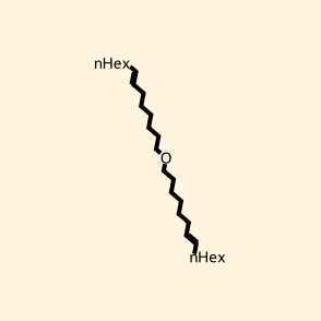 CCCCCCC=CCCCCCCOCCCCCCC=CCCCCCC